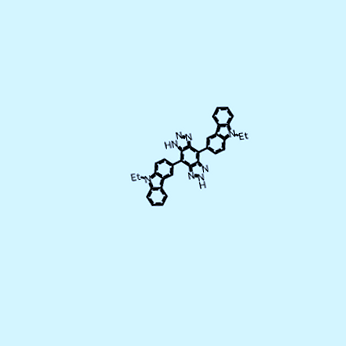 CCn1c2ccccc2c2cc(-c3c4n[nH]nc4c(-c4ccc5c(c4)c4ccccc4n5CC)c4[nH]nnc34)ccc21